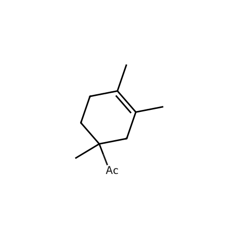 CC(=O)C1(C)CCC(C)=C(C)C1